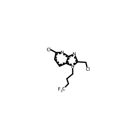 FC(F)(F)CCCn1c(CCl)nc2nc(Cl)ccc21